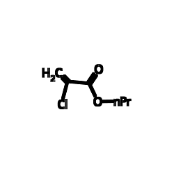 [CH2]CCOC(=O)C(=C)Cl